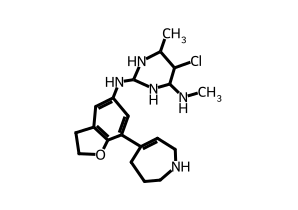 CNC1NC(Nc2cc3c(c(C4=CCNCCC4)c2)OCC3)NC(C)C1Cl